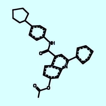 CC(=O)Oc1ccc2c(C(=O)Nc3ccc(C4CCCCC4)cc3)cc(-c3ccccc3)nc2c1